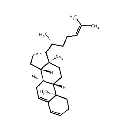 CC(C)=CCC[C@@H](C)[C@H]1CC[C@H]2[C@@H]3CC=C4C=CCC[C@]4(C)[C@H]3CC[C@]12C